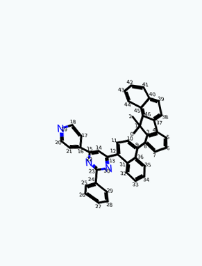 CC1(C)c2c(cccc2-c2ccc(-c3cc(-c4ccncc4)nc(-c4ccccc4)n3)c3ccccc23)-c2ccc3ccccc3c21